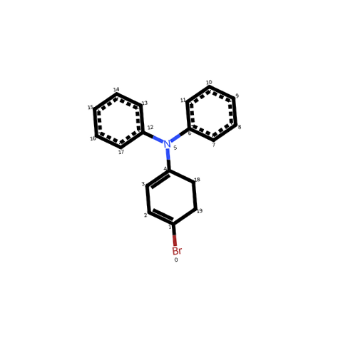 BrC1=CC=C(N(c2ccccc2)c2ccccc2)CC1